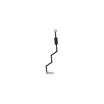 C[CH]C#CCCCCCCCCC